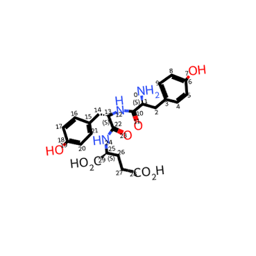 N[C@@H](Cc1ccc(O)cc1)C(=O)N[C@@H](Cc1ccc(O)cc1)C(=O)N[C@@H](CCC(=O)O)C(=O)O